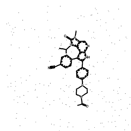 CC(=O)N1CCN(c2ccc(-c3[nH]c4ncc5c(c4c3-c3ccc(C#N)cc3)n(C(C)C)c(=O)n5C)cc2)CC1